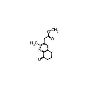 COC(=O)Cc1cc2c(nc1C)C(=O)CCC2